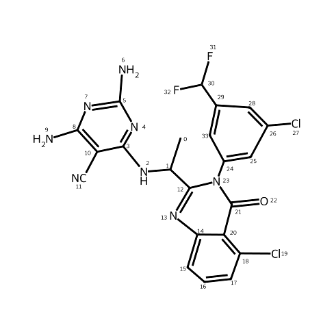 CC(Nc1nc(N)nc(N)c1C#N)c1nc2cccc(Cl)c2c(=O)n1-c1cc(Cl)cc(C(F)F)c1